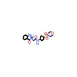 O=C(Cn1nnc2ccccc2c1=O)Nc1ccc(S(=O)(=O)N2CCOCC2)cc1